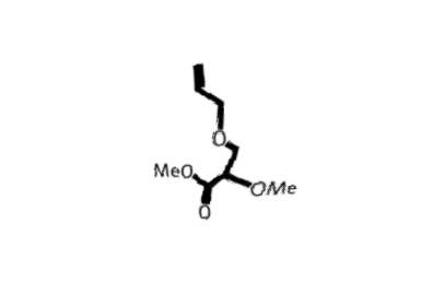 C=CCOCC(OC)C(=O)OC